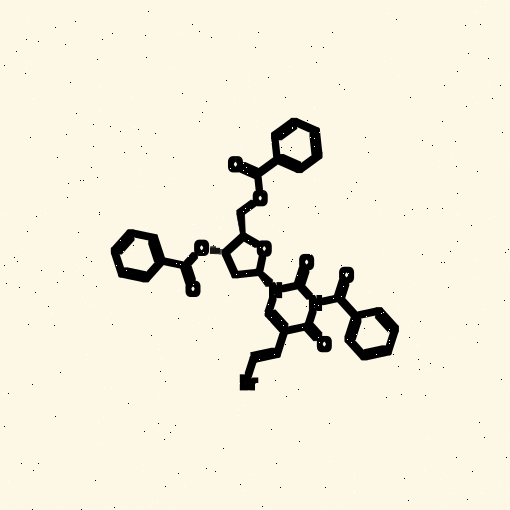 O=C(OC[C@H]1O[C@@H](n2cc(/C=C/Br)c(=O)n(C(=O)c3ccccc3)c2=O)C[C@@H]1OC(=O)c1ccccc1)c1ccccc1